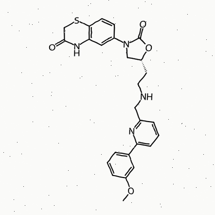 COc1cccc(-c2cccc(CNCC[C@@H]3CN(c4ccc5c(c4)NC(=O)CS5)C(=O)O3)n2)c1